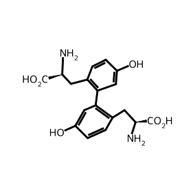 N[C@@H](Cc1ccc(O)cc1-c1cc(O)ccc1C[C@H](N)C(=O)O)C(=O)O